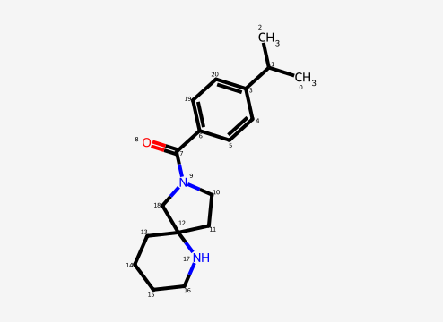 CC(C)c1ccc(C(=O)N2CCC3(CCCCN3)C2)cc1